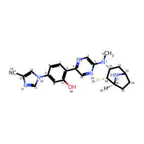 CN(c1cnc(-c2ccc(-n3cnc(C#N)c3)cc2O)cn1)[C@@H]1CC2CC[C@H](N2)[C@@H]1F